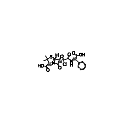 CC1(C)S[C@H]2N(C(=O)[C@]23OC3(Cl)C(=O)N[C@H](C(=O)O)c2ccccc2)[C@H]1C(=O)O